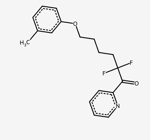 Cc1cccc(OCCCCC(F)(F)C(=O)c2ccccn2)c1